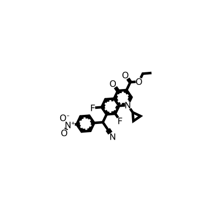 CCOC(=O)c1cn(C2CC2)c2c(F)c(C(C#N)c3ccc([N+](=O)[O-])cc3)c(F)cc2c1=O